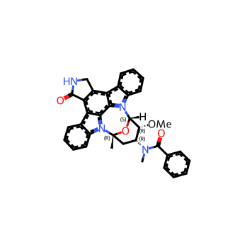 CO[C@@H]1[C@H](N(C)C(=O)c2ccccc2)C[C@@]2(C)O[C@@H]1n1c3ccccc3c3c4c(c5c6ccccc6n2c5c31)C(=O)NC4